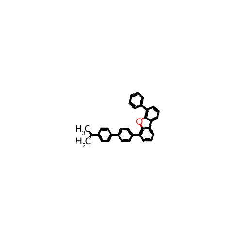 CC(C)c1ccc(-c2ccc(-c3cccc4c3oc3c(-c5ccccc5)cccc34)cc2)cc1